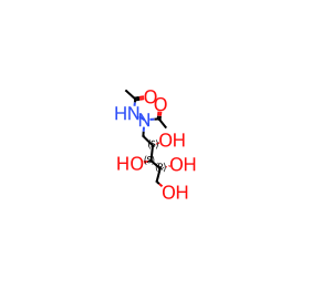 CC(=O)NN(C[C@H](O)[C@H](O)[C@H](O)CO)C(C)=O